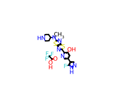 CN(c1nc2sc(-c3ncc(-c4cn[nH]c4F)cc3O)nc2s1)C1CCNCC1.O=C(O)C(F)(F)F